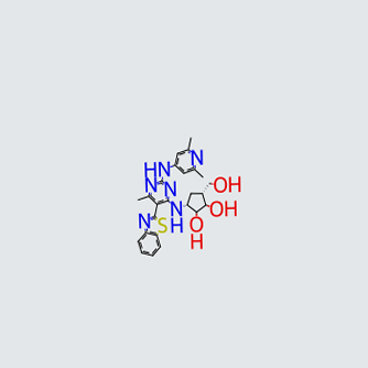 Cc1cc(Nc2nc(C)c(-c3nc4ccccc4s3)c(N[C@@H]3C[C@H](CO)[C@@H](O)[C@H]3O)n2)cc(C)n1